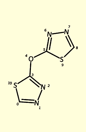 c1nnc(Oc2nncs2)s1